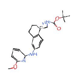 COc1cccc(Nc2ccc3c(c2)CCC[C@H]3CNC(=O)OC(C)(C)C)n1